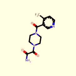 NC(=O)C(=O)N1CCN(C(=O)c2cnccc2C(F)(F)F)CC1